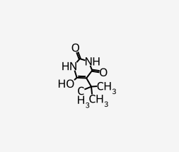 CC(C)(C)c1c(O)[nH]c(=O)[nH]c1=O